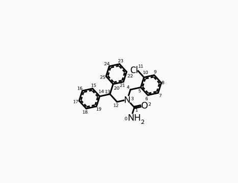 NC(=O)N(Cc1ccccc1Cl)CC(c1ccccc1)c1ccccc1